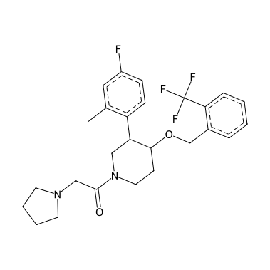 Cc1cc(F)ccc1C1CN(C(=O)CN2CCCC2)CCC1OCc1ccccc1C(F)(F)F